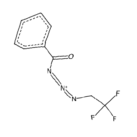 O=C(N=[N+]=NCC(F)(F)F)c1ccccc1